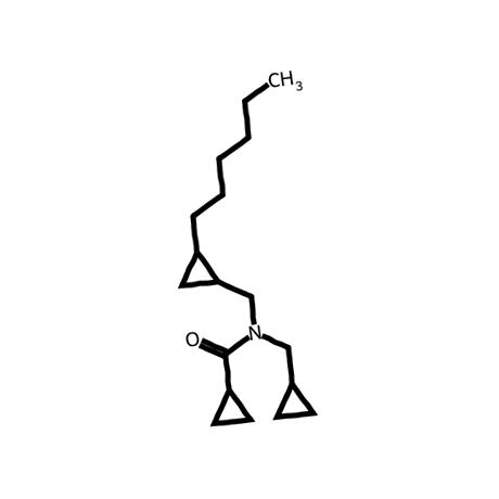 CCCCCCC1CC1CN(CC1CC1)C(=O)C1CC1